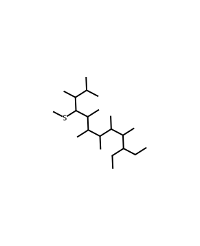 CCC(CC)C(C)C(C)C(C)C(C)C(C)C(SC)C(C)C(C)C